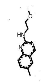 Cc1ccc2nc(NCCOI)ncc2c1